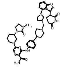 CN1CCN([C@@H]2CCCN(c3cnc(C(N)=O)c(Nc4ccc(C5CCN(C[C@H]6CCN(c7cccc8onc(C9CCC(=O)NC9=O)c78)C6)CC5)cc4)n3)C2)C1=O